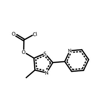 Cc1nc(-c2ccccn2)sc1OC(=O)Cl